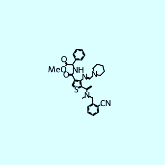 C=C(c1scc(C(=O)NC(C(=O)OC)c2ccccc2)c1/N=C/N1CCCCC1)N(C)Cc1ccccc1C#N